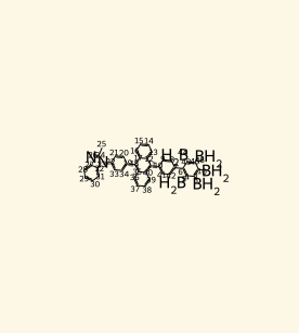 Bc1c(B)c(B)c(-c2ccc(-c3c4ccccc4c(-c4ccc(-n5c(C)nc6ccccc65)cc4)c4ccccc34)cc2)c(B)c1B